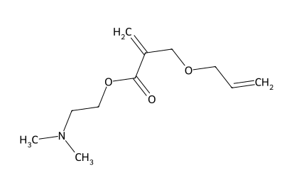 C=CCOCC(=C)C(=O)OCCN(C)C